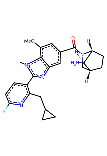 COc1cc(C(=O)N2C[C@H]3CC[C@@H]2[C@@H]3N)cc2nc(-c3ccc(F)nc3CC3CC3)n(C)c12